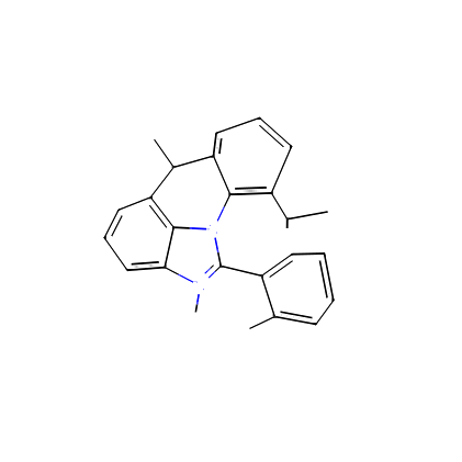 Cc1ccccc1-c1n2c3c(cccc3[n+]1C)C(C)c1cccc(C(C)C)c1-2